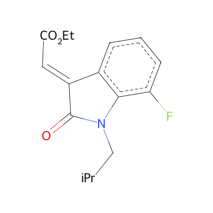 CCOC(=O)/C=C1/C(=O)N(CC(C)C)c2c(F)cccc21